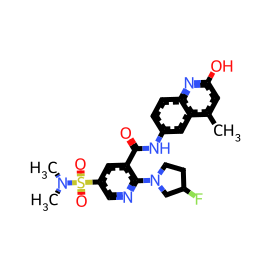 Cc1cc(O)nc2ccc(NC(=O)c3cc(S(=O)(=O)N(C)C)cnc3N3CCC(F)C3)cc12